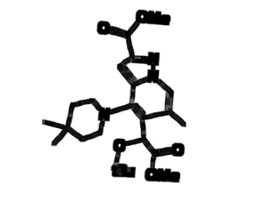 COC(=O)c1cc2c(N3CCC(C)(C)CC3)c(C(OC(C)(C)C)C(=O)OC)c(C)cn2n1